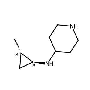 C[C@H]1C[C@@H]1NC1CCNCC1